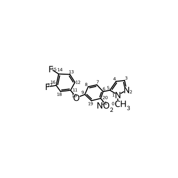 Cn1nccc1-c1ccc(Oc2ccc(F)c(F)c2)cc1[N+](=O)[O-]